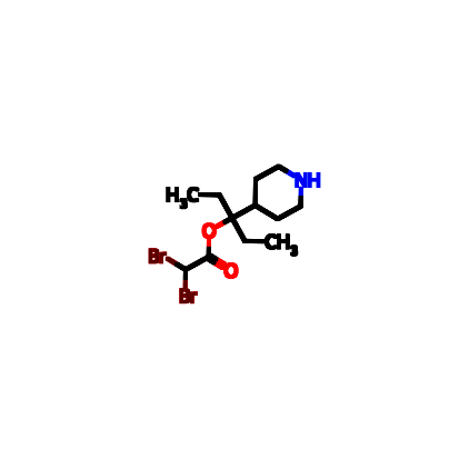 CCC(CC)(OC(=O)C(Br)Br)C1CCNCC1